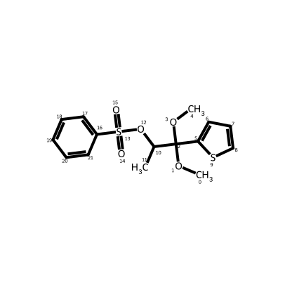 COC(OC)(c1cccs1)C(C)OS(=O)(=O)c1ccccc1